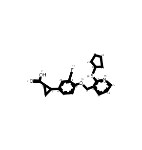 O=C(O)C1CC1c1ccc(OCc2cccnc2SC2CCCC2)c(F)c1